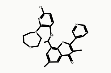 Cc1cc(C(C)Nc2ccc(Cl)nc2N2CCCOCC2)c2oc(-c3cccnc3)c(C)c(=O)c2c1